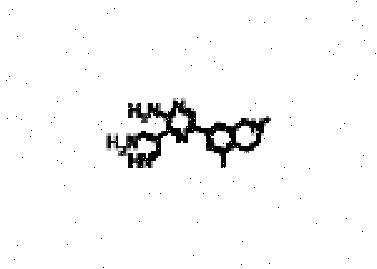 Cc1cc(-c2cnc(N)c(/C(C=N)=C/N)n2)cc2c1CCN(C)C2